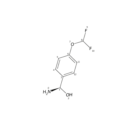 N[C@H](O)c1ccc(OC(F)F)cc1